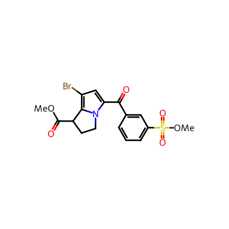 COC(=O)C1CCn2c(C(=O)c3cccc(S(=O)(=O)OC)c3)cc(Br)c21